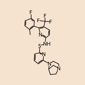 Cc1ccc(F)cc1-c1nc(NSc2cccc(N3CCN4CCC3C4)n2)ccc1C(F)(F)F